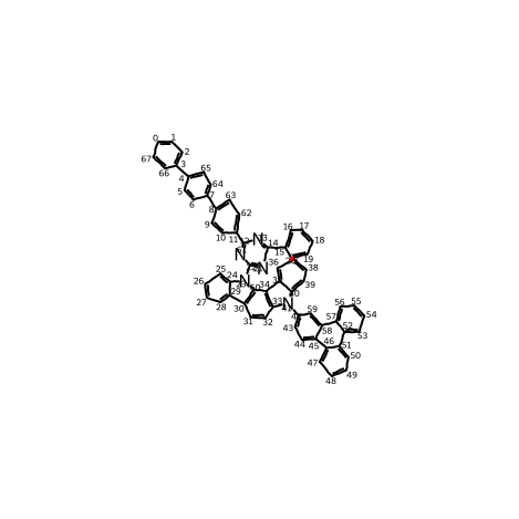 c1ccc(-c2ccc(-c3ccc(-c4nc(-c5ccccc5)nc(-n5c6ccccc6c6ccc7c(c8ccccc8n7-c7ccc8c9ccccc9c9ccccc9c8c7)c65)n4)cc3)cc2)cc1